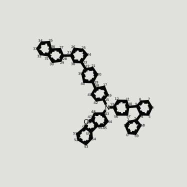 c1ccc(-c2ccccc2-c2ccc(N(c3ccc(-c4ccc(-c5cccc(-c6ccc7ccccc7c6)c5)cc4)cc3)c3ccc4c(c3)oc3ccccc34)cc2)cc1